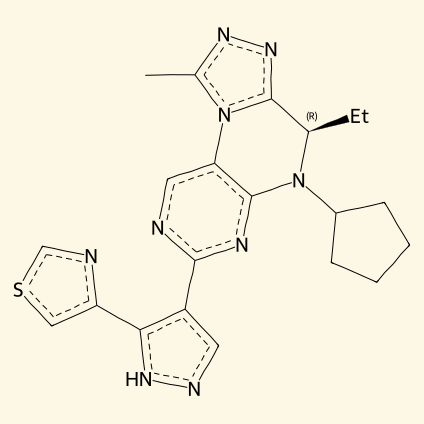 CC[C@@H]1c2nnc(C)n2-c2cnc(-c3cn[nH]c3-c3cscn3)nc2N1C1CCCC1